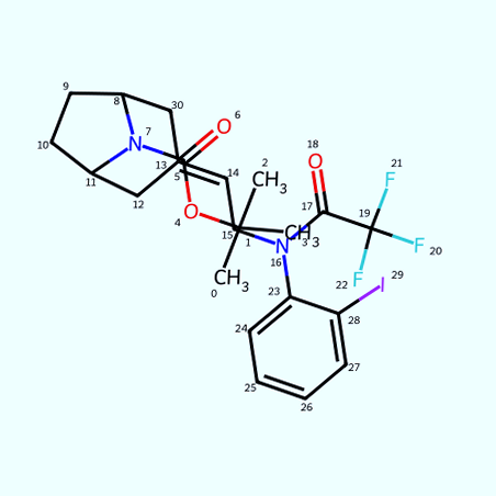 CC(C)(C)OC(=O)N1C2CCC1CC(=CCN(C(=O)C(F)(F)F)c1ccccc1I)C2